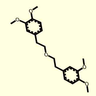 COc1ccc(CCOCCc2ccc(OC)c(OC)c2)cc1OC